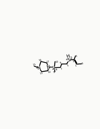 CC=C(C)[SiH2]CCC[Si](C)(C)N1CCN(C)CC1